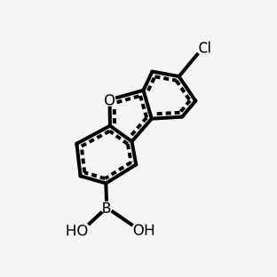 OB(O)c1ccc2oc3cc(Cl)ccc3c2c1